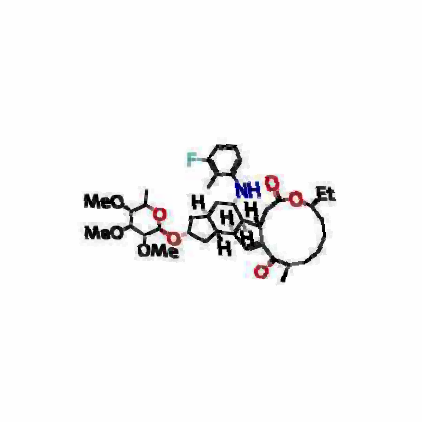 CC[C@H]1CCCC[C@@H](C)C(=O)C2=C[C@H]3[C@@H]4C[C@H](O[C@@H]5OC(C)[C@H](OC)C(OC)C5OC)C[C@H]4C[C@H](Nc4cccc(F)c4C)[C@H]3[C@@H]2CC(=O)O1